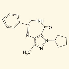 Cc1nn(C2CCCC2)c2c1N=C(c1ccccc1)CNC2=O